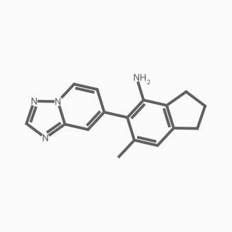 Cc1cc2c(c(N)c1-c1ccn3ncnc3c1)CCC2